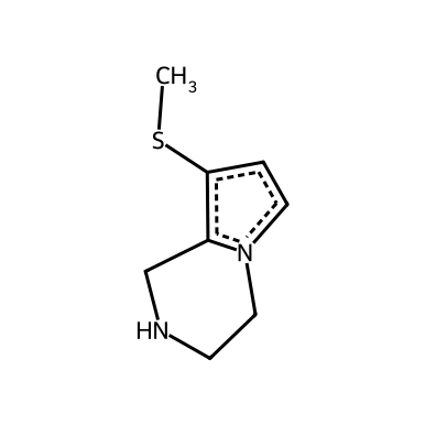 CSc1ccn2c1CNCC2